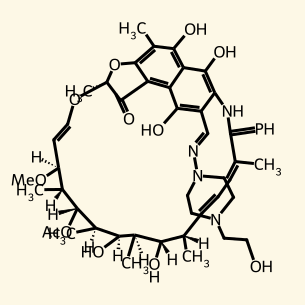 CO[C@H]1/C=C/O[C@@]2(C)Oc3c(C)c(O)c4c(O)c(c(/C=N/N5CCN(CCO)CC5)c(O)c4c3C2=O)NC(=P)/C(C)=C\C=C\[C@H](C)[C@H](O)[C@@H](C)[C@@H](O)[C@@H](C)[C@H](OC(C)=O)[C@@H]1C